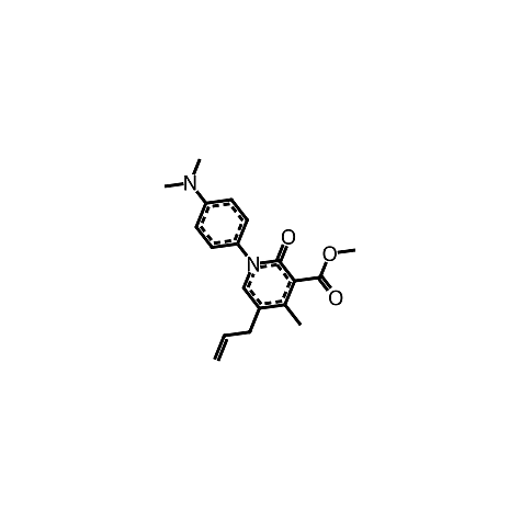 C=CCc1cn(-c2ccc(N(C)C)cc2)c(=O)c(C(=O)OC)c1C